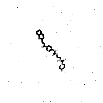 CN1CCN(C(=O)NCCOC(=O)Nc2ccc(C(=O)/C=C/c3ccc4ccccc4n3)cc2)CC1